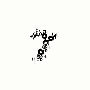 CC(C)(C)COc1cc(-c2cnc(NS(=O)(=O)c3cccc(NS(C)(=O)=O)c3)nc2-c2ccc(C(F)(F)F)cc2)ccc1Cl